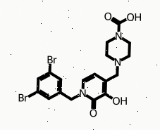 O=C(O)N1CCN(Cc2ccn(Cc3cc(Br)cc(Br)c3)c(=O)c2O)CC1